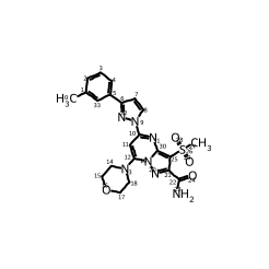 Cc1cccc(-c2ccn(-c3cc(N4CCOCC4)n4nc(C(N)=O)c(S(C)(=O)=O)c4n3)n2)c1